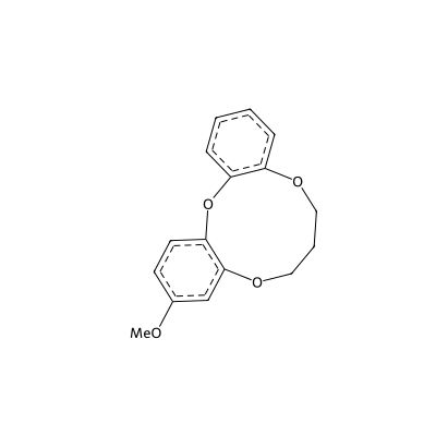 COc1ccc2c(c1)OCCCOc1ccccc1O2